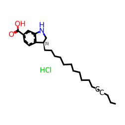 CCCCCCCCCCCCCCCC[C@@H]1CNc2cc(C(=O)O)ccc21.Cl